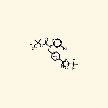 CC(F)(F)c1nc(C23CCC(CN(C(=O)OC(C)(C)C(F)(F)F)c4cc(Br)ccn4)(CC2)CC3)no1